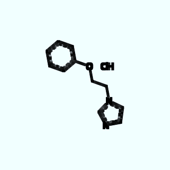 Cl.c1ccc(OCCn2ccnc2)cc1